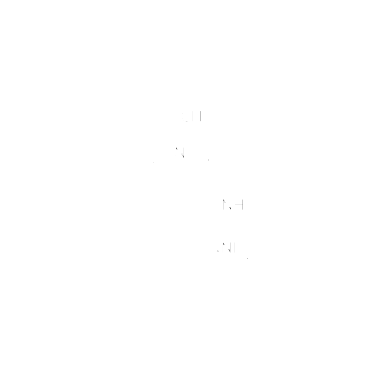 CN(CCI)CCNN